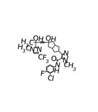 Cn1cc(C(F)(F)F)nc1C(C)(O)C#CC1(O)CC2CC(c3ncn(C)c3C(=O)Nc3ccc(F)c(Cl)c3)CC2C1